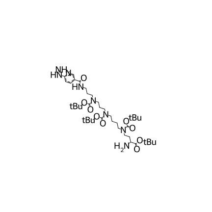 CC(C)(C)OC(=O)C(N)CCN(CCCCN(CCCN(CCCNC(=O)c1ccc(NN)nc1)C(=O)OC(C)(C)C)C(=O)OC(C)(C)C)C(=O)OC(C)(C)C